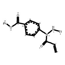 C=CC(=O)N(NCC)c1ccc(C(=O)OC(C)C)cc1